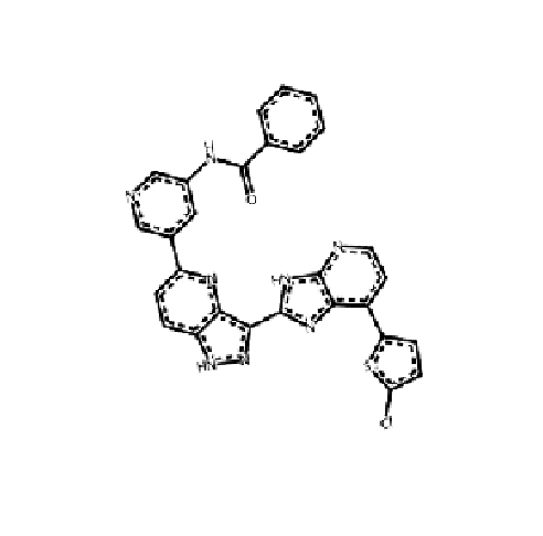 O=C(Nc1cncc(-c2ccc3[nH]nc(-c4nc5c(-c6ccc(Cl)s6)ccnc5[nH]4)c3n2)c1)c1ccccc1